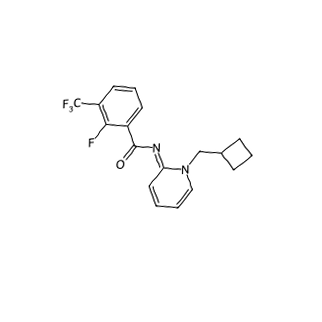 O=C(/N=c1\ccccn1CC1CCC1)c1cccc(C(F)(F)F)c1F